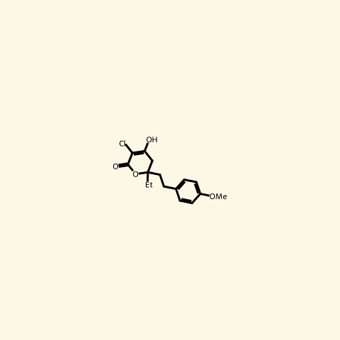 CCC1(CCc2ccc(OC)cc2)CC(O)=C(Cl)C(=O)O1